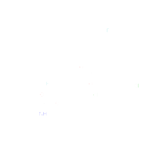 O=C(NC1CCCC1)Oc1cc2c(cc1F)OC(c1ccc(F)cc1)(c1ccc(Cl)cc1Cl)O2